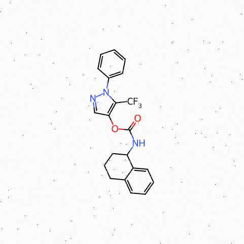 O=C(NC1CCCc2ccccc21)Oc1cnn(-c2ccccc2)c1C(F)(F)F